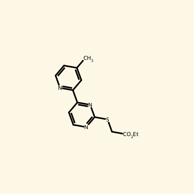 CCOC(=O)CSc1nccc(-c2cc(C)ccn2)n1